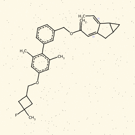 C=C(/C=C1/CC2CC2/C1=C/C)OCc1cccc(-c2c(C)cc(OCC3CC(C)(F)C3)cc2C)c1